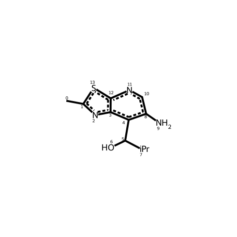 Cc1nc2c(C(O)C(C)C)c(N)cnc2s1